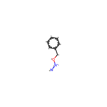 [N][N+]OCc1ccccc1